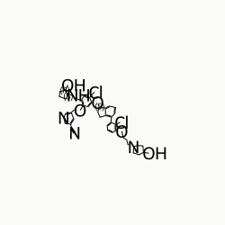 N#Cc1cncc(COc2cc(O[C@H]3CCc4c(-c5cccc(OCCCN6CCC(O)CC6)c5Cl)cccc43)c(Cl)cc2CN[C@H]2CCC[C@H]2O)c1